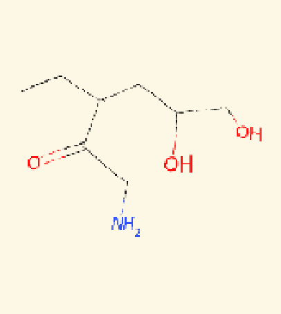 CC[C](CC(O)CO)C(=O)CN